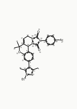 CCn1nc(C)c(-c2ccc3c(c2)OC(C)(C)C2=CCn4c(=O)n(-c5ccc(C(C)=O)cc5)c(=O)n4C23)c1C